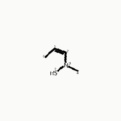 C/C=C\N(C)S